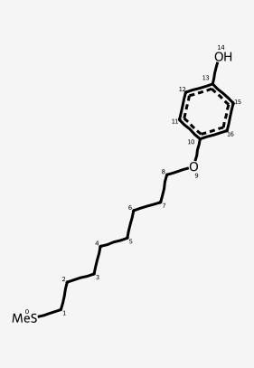 CSCCCCCCCCOc1ccc(O)cc1